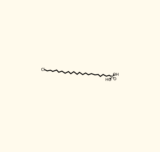 O=P(O)(O)CCCCCCCCCCCCCCCCCCCCCCCl